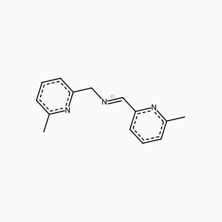 Cc1cccc(/C=N/Cc2cccc(C)n2)n1